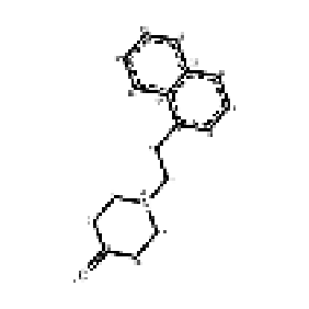 O=C1CCN(CCc2cccc3ccccc23)CC1